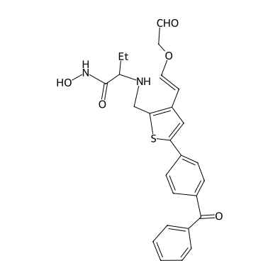 CCC(NCc1sc(-c2ccc(C(=O)c3ccccc3)cc2)cc1/C=C/OCC=O)C(=O)NO